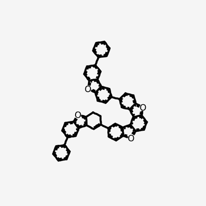 C1=C(c2ccc3oc4ccc5oc6ccc(-c7ccc8oc9ccc(-c%10ccccc%10)cc9c8c7)cc6c5c4c3c2)CCc2oc3ccc(-c4ccccc4)cc3c21